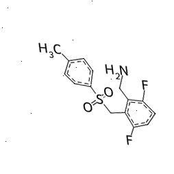 Cc1ccc(S(=O)(=O)Cc2c(F)ccc(F)c2CN)cc1